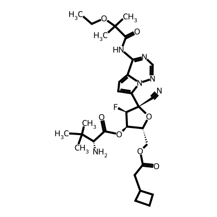 CCOC(C)(C)C(=O)Nc1ncnn2c([C@]3(C#N)O[C@H](COC(=O)CC4CCC4)[C@@H](OC(=O)[C@H](N)C(C)(C)C)[C@H]3F)ccc12